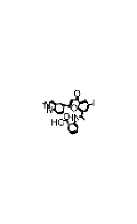 CC(Nc1ccccc1C(=O)O)c1cc(I)cc2c(=O)cc(-c3ccc4nn(C)cc4c3)oc12